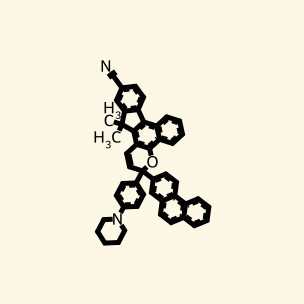 CC1(C)c2cc(C#N)ccc2-c2c1c1c(c3ccccc23)OC(c2ccc(N3CCCCC3)cc2)(c2ccc3c(ccc4ccccc43)c2)C=C1